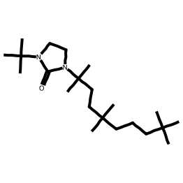 CC(C)(C)CCCC(C)(C)CCC(C)(C)N1CCN(C(C)(C)C)C1=O